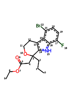 CCCC1(CC(=O)OCC)OCCc2c1[nH]c1c(F)ccc(Br)c21